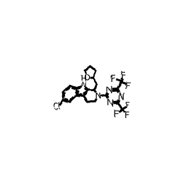 FC(F)(F)c1nc(N2CCc3c([nH]c4ccc(Cl)cc34)C2CC2CCCO2)nc(C(F)(F)F)n1